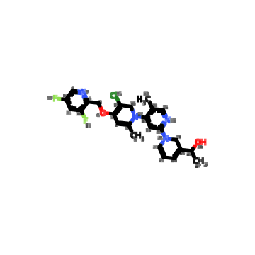 CC1=CC(OCc2ncc(F)cc2F)=C(Cl)CN1c1cc(N2C=CC=C(C(C)O)C2)ncc1C